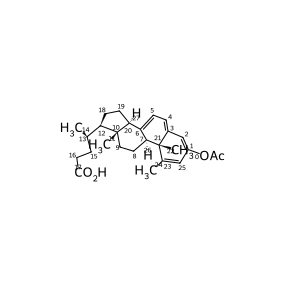 CC(=O)OC1=CC2=CC=C3[C@H](CC[C@]4(C)[C@@H]([C@H](C)CCC(=O)O)CC[C@@H]34)[C@@]2(C)C(C)=C1